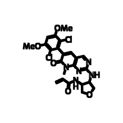 C=CC(=O)NC1COCC1Nc1ncc2cc(-c3c(Cl)c(OC)cc(OC)c3Cl)c(=O)n(C)c2n1